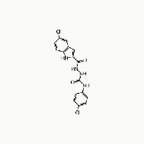 O=C(NNC(=O)c1cc2cc(Cl)ccc2[nH]1)Nc1ccc(Cl)cc1